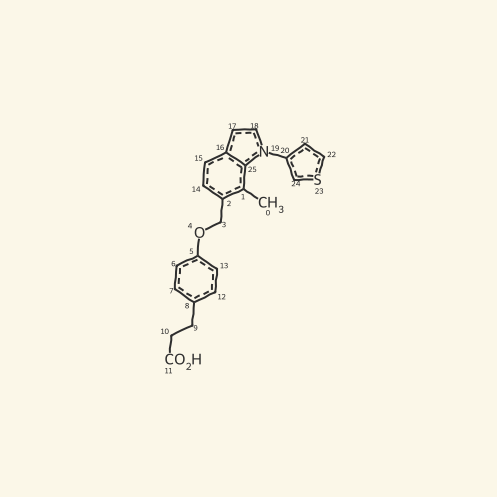 Cc1c(COc2ccc(CCC(=O)O)cc2)ccc2ccn(-c3ccsc3)c12